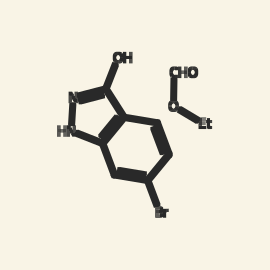 CCOC=O.Oc1n[nH]c2cc(Br)ccc12